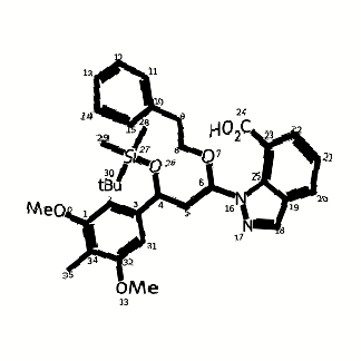 COc1cc(C(CC(OCCc2ccccc2)n2ncc3cccc(C(=O)O)c32)O[Si](C)(C)C(C)(C)C)cc(OC)c1C